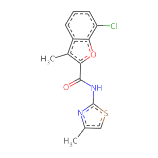 Cc1csc(NC(=O)c2oc3c(Cl)cccc3c2C)n1